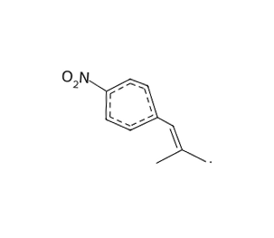 [CH2]C(C)=Cc1ccc([N+](=O)[O-])cc1